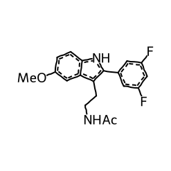 COc1ccc2[nH]c(-c3cc(F)cc(F)c3)c(CCNC(C)=O)c2c1